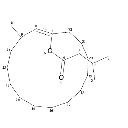 CC(C)CC(=O)O/C1=C\C(C)CCCCCCCCCCCC1